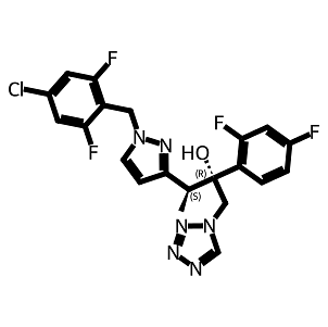 C[C@@H](c1ccn(Cc2c(F)cc(Cl)cc2F)n1)[C@](O)(Cn1cnnn1)c1ccc(F)cc1F